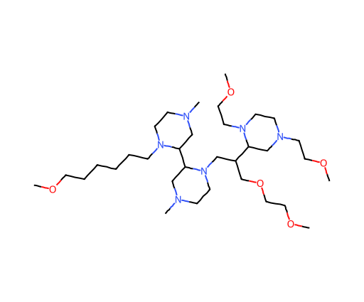 COCCCCCCN1CCN(C)CC1C1CN(C)CCN1CC(COCCOC)C1CN(CCOC)CCN1CCOC